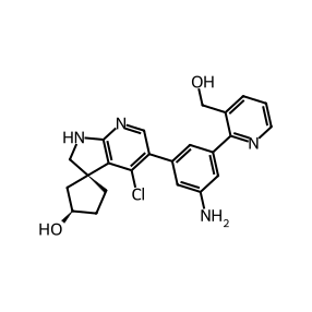 Nc1cc(-c2cnc3c(c2Cl)[C@@]2(CC[C@@H](O)C2)CN3)cc(-c2ncccc2CO)c1